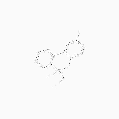 CCOC(=O)CC1(C)Oc2ccc(Cl)cc2-c2ccccc21